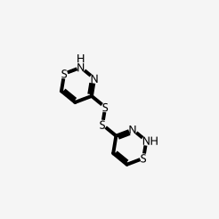 C1=CC(SSC2=NNSC=C2)=NNS1